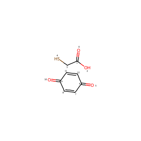 O=C(O)CS.O=C1C=CC(=O)C=C1